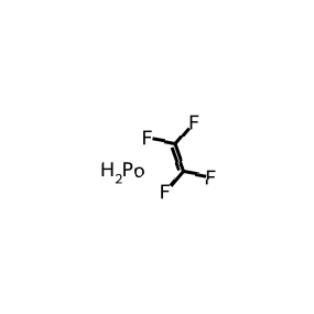 FC(F)=C(F)F.[PoH2]